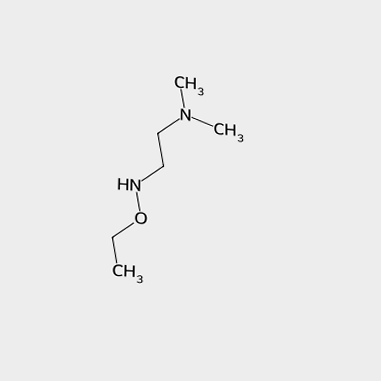 CCONCCN(C)C